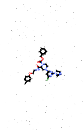 Cc1ccc(OCCNC(=O)C2CN(c3cc(Cl)nc(-n4ccnc4)n3)CCN2C(=O)OCc2ccccc2)cc1